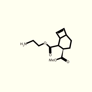 COC(=O)[C@@H]1CCC2C=CC2C1C(=O)OCCN